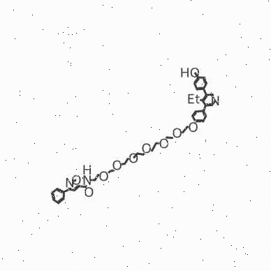 CCc1c(-c2ccc(O)cc2)cncc1-c1ccc(OCCOCCOCCOCCOCCOCCOCCNC(=O)c2cc(-c3ccccc3)no2)cc1